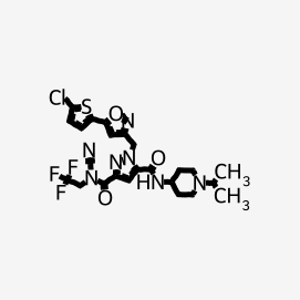 CC(C)N1CCC(NC(=O)c2cc(C(=O)N(C#N)CC(F)(F)F)nn2Cc2cc(-c3ccc(Cl)s3)on2)CC1